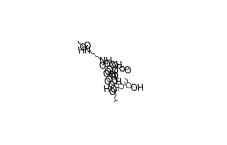 C=CCOC(=O)NCCCCCCNC(=O)OC1COC(OC2C(O)COC(O[C@H]3C[C@H]4CC([C@@]5(C)CC[C@H](O)C/C5=C/C)CC[C@]4(C)[C@@]3(O)[C@H](C)C(=O)CCC(C)C)C2OC(C)=O)C(OC(=O)c2ccc(OC)cc2)C1O